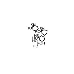 OC1(S)CCCCC1.OC1(S)CCCCC1.OC1(S)CCCCC1.OP(O)O